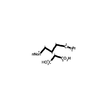 CCCCCCCCCCC[CH2][Ca][CH2]CC.O=C(O)CC(=O)O